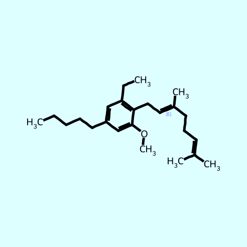 CCCCCc1cc(CC)c(C/C=C(\C)CCC=C(C)C)c(OC)c1